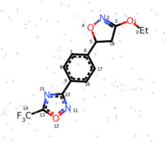 CCOC1=NOC(c2ccc(-c3noc(C(F)(F)F)n3)cc2)C1